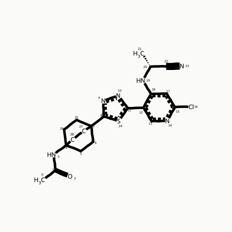 CC(=O)NC12CCC(c3nnc(-c4cnc(Cl)cc4N[C@H](C)C#N)s3)(CC1)CC2